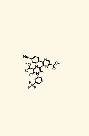 COC(=O)c1cnc(-c2ccc(C#N)cc2)c(-c2nc(C(=O)OC)c(=O)n(-c3cccc(C(F)(F)F)c3)c2C)n1